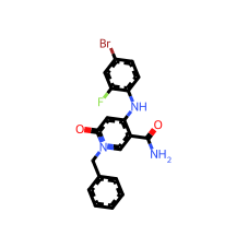 NC(=O)c1cn(Cc2ccccc2)c(=O)cc1Nc1ccc(Br)cc1F